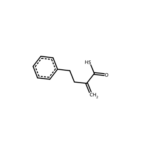 C=C(CCc1ccccc1)C(=O)S